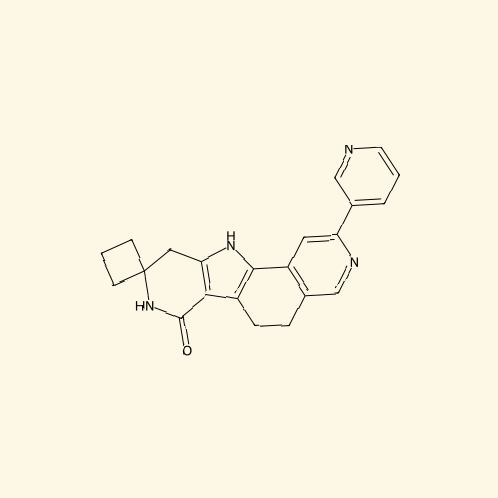 O=C1NC2(CCC2)Cc2[nH]c3c(c21)CCc1cnc(-c2cccnc2)cc1-3